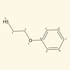 SCCOc1c[c]ccc1